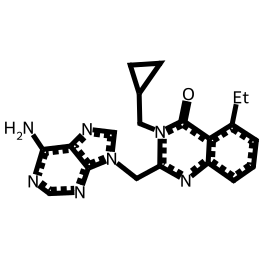 CCc1cccc2nc(Cn3cnc4c(N)ncnc43)n(CC3CC3)c(=O)c12